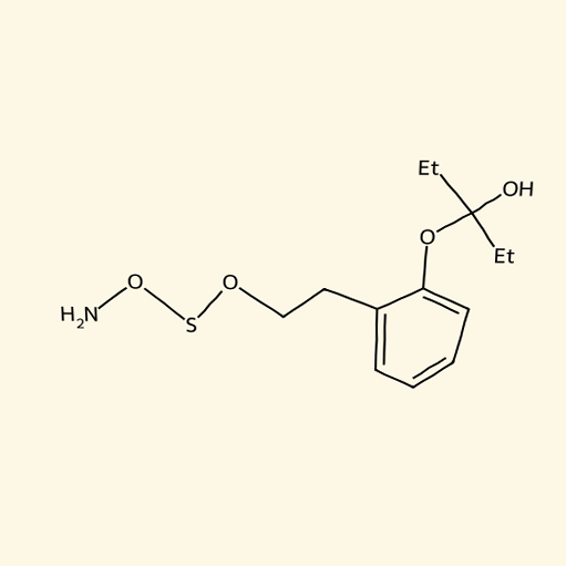 CCC(O)(CC)Oc1ccccc1CCOSON